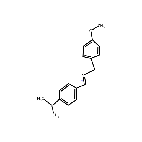 COc1ccc(C/N=C/c2ccc(N(C)C)cc2)cc1